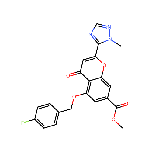 COC(=O)c1cc(OCc2ccc(F)cc2)c2c(=O)cc(-c3ncnn3C)oc2c1